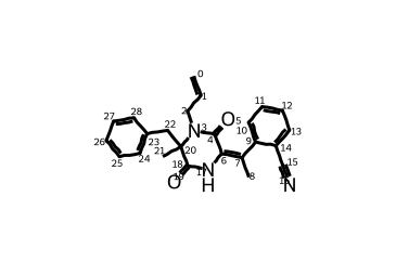 C=CCN1C(=O)C(=C(C)c2ccccc2C#N)NC(=O)C1(C)Cc1ccccc1